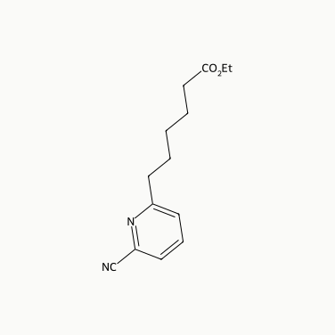 CCOC(=O)CCCCCc1cccc(C#N)n1